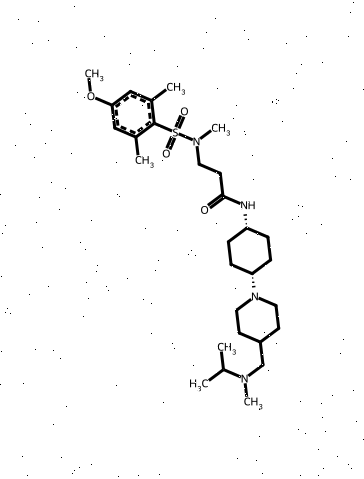 COc1cc(C)c(S(=O)(=O)N(C)CCC(=O)N[C@H]2CC[C@@H](N3CCC(CN(C)C(C)C)CC3)CC2)c(C)c1